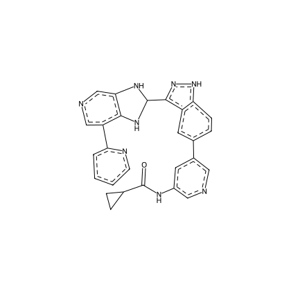 O=C(Nc1cncc(-c2ccc3[nH]nc(C4Nc5cncc(-c6ccccn6)c5N4)c3c2)c1)C1CC1